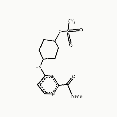 CNC(=O)c1nccc(NC2CCC(OS(C)(=O)=O)CC2)n1